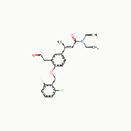 CCN(CC)C(=O)/C=C(\C)c1ccc(OCc2c(F)cccc2F)c(CC=O)c1